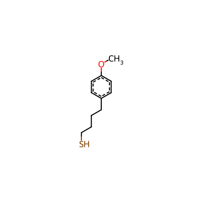 COc1ccc(CCCCS)cc1